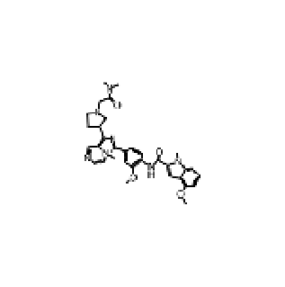 COc1cc(C2=NC(C3CCN(CC(=O)N(C)C)C3)=C3C=NC=C[N+]23C)ccc1NC(=O)c1cc2c(OC)cccc2n1C